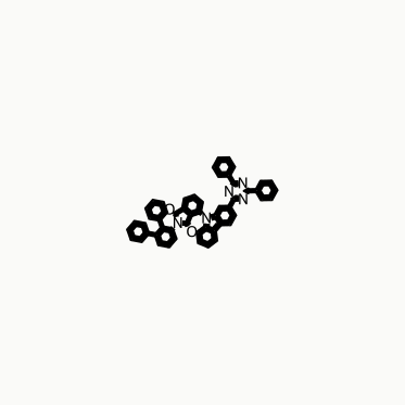 O=C1c2cccc(-n3c4ccccc4c4ccc(-c5nc(-c6ccccc6)nc(-c6ccccc6)n5)cc43)c2C(=O)N1c1cccc(-c2ccccc2)c1-c1ccccc1